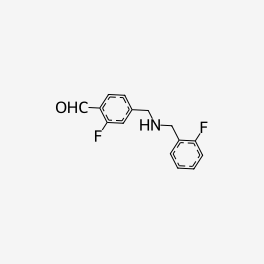 O=Cc1ccc(CNCc2ccccc2F)cc1F